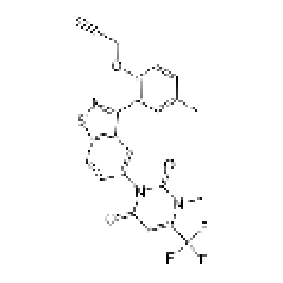 C#CCOc1ccc(C)cc1-c1nsc2ccc(-n3c(=O)cc(C(F)(F)F)n(C)c3=O)cc12